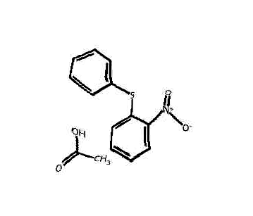 CC(=O)O.O=[N+]([O-])c1ccccc1Sc1ccccc1